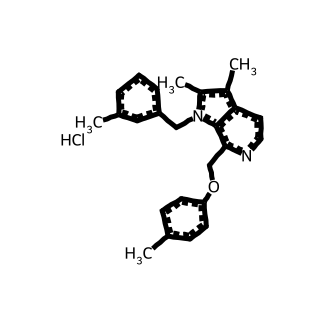 Cc1ccc(OCc2nccc3c(C)c(C)n(Cc4cccc(C)c4)c23)cc1.Cl